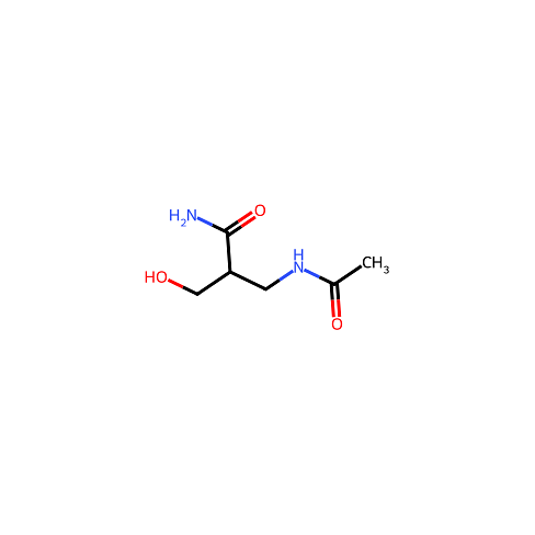 CC(=O)NCC(CO)C(N)=O